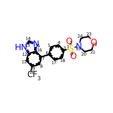 O=S(=O)(c1ccc(-c2cc(C(F)(F)F)cc3[nH]cnc23)cc1)N1CCOCC1